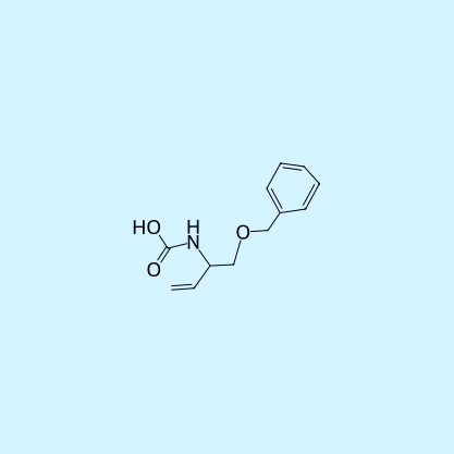 C=CC(COCc1ccccc1)NC(=O)O